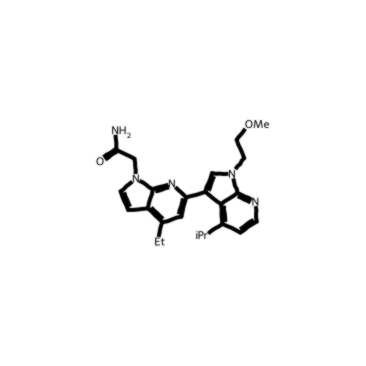 CCc1cc(-c2cn(CCOC)c3nccc(C(C)C)c23)nc2c1ccn2CC(N)=O